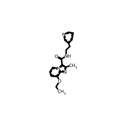 CCOc1cccn2c(C(=O)NCCc3cccnc3)c(C)nc12